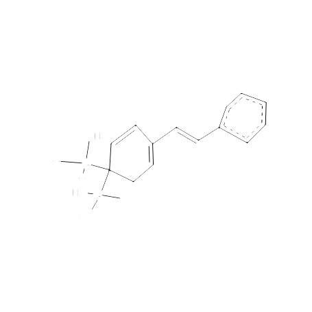 O[Si](O)(O)C1([Si](O)(O)O)C=CC(C=Cc2ccccc2)=CC1